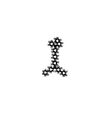 c1ccc(-c2ccc(N(c3ccc(-c4ccccc4)cc3)c3ccc(-c4ccc(-c5ccc(N(c6ccccc6)c6cccc7ccccc67)cc5)cc4)cc3)cc2)cc1